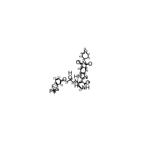 CN1CCC(N2C(=O)c3cc4nc(-c5c(NCC(O)COc6cccc(SC(F)(F)F)c6)cc[nH]c5=O)[nH]c4cc3C2=O)CC1